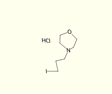 Cl.ICCCN1CCOCC1